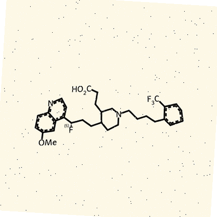 COc1ccc2nccc([C@@H](F)CCC3CCN(CCCCc4ccccc4C(F)(F)F)CC3CCC(=O)O)c2c1